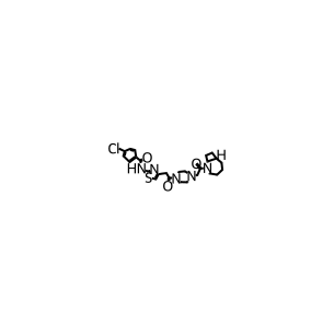 O=C(Nc1nc(CC(=O)N2CCN(CC(=O)N3CCCC[C@@H]4CCC43)CC2)cs1)c1ccc(Cl)cc1